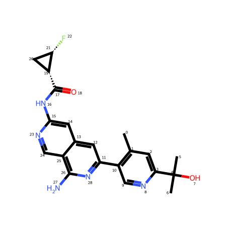 Cc1cc(C(C)(C)O)ncc1-c1cc2cc(NC(=O)[C@@H]3C[C@@H]3F)ncc2c(N)n1